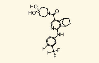 O=C(c1cnc(Nc2ccc(F)c(C(F)(F)F)c2)c2c1C1CCC2C1)N1CCS(O)(O)CC1